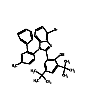 Cc1ccc(-n2c(-c3cc(C(C)(C)C)cc(C(C)(C)C)c3O)nc3c(Br)cccc32)c(-c2ccccc2)c1